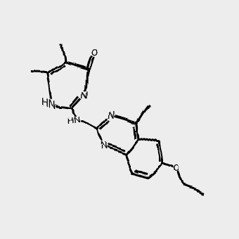 CCOc1ccc2nc(Nc3nc(=O)c(C)c(C)[nH]3)nc(C)c2c1